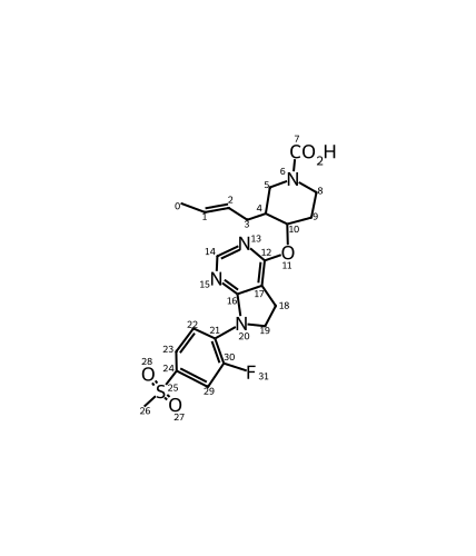 CC=CCC1CN(C(=O)O)CCC1Oc1ncnc2c1CCN2c1ccc(S(C)(=O)=O)cc1F